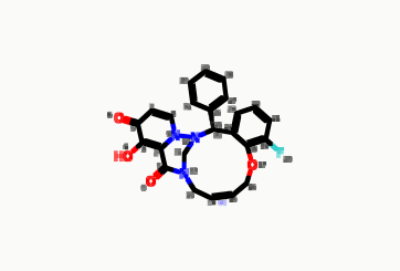 O=C1c2c(O)c(=O)ccn2N2CN1C/C=C\COc1c(F)cccc1[C@@H]2c1ccccc1